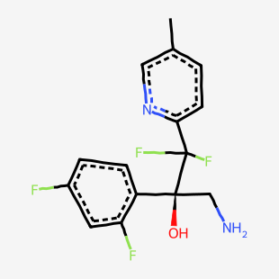 Cc1ccc(C(F)(F)[C@](O)(CN)c2ccc(F)cc2F)nc1